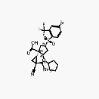 N#CC1(C(N)=O)CC1[C@]1(C(=O)O)C[C@@H](S(=O)(=O)c2ccc(Br)cc2C(F)(F)F)C[C@H]1OC1CCCC1